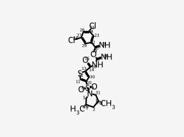 C[C@@H]1C[C@H](C)CN(S(=O)(=O)c2csc(C(=O)NC(=N)OC(=N)c3cc(Cl)cc(Cl)c3)c2)C1